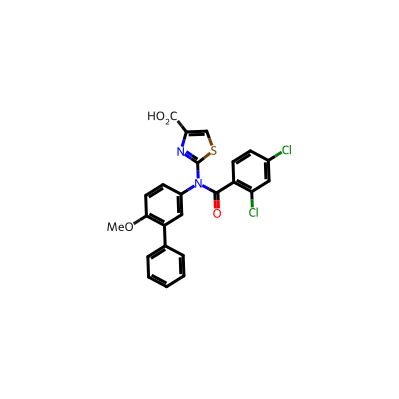 COc1ccc(N(C(=O)c2ccc(Cl)cc2Cl)c2nc(C(=O)O)cs2)cc1-c1ccccc1